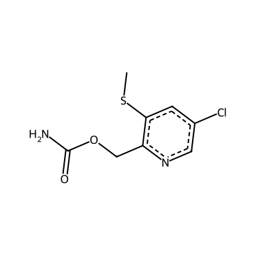 CSc1cc(Cl)cnc1COC(N)=O